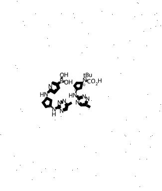 Cc1cnc(N[C@H]2CC[C@H](N(C(=O)O)C(C)(C)C)C2)nn1.Cc1cnc(N[C@H]2CC[C@H](Nc3ccc(B(O)O)cn3)C2)nn1